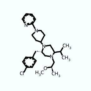 CO[C@H](C)CN1C[C@H](Cc2ccc(Cl)cc2)N(C2CCN(c3ccccn3)CC2)CC1C(C)C